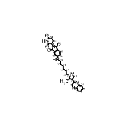 CC1C(c2cnc3ccccc3n2)C=NN1CCCCCCNc1ccc2c(c1)C(=O)N(C1CCC(=O)NC1=O)C2=O